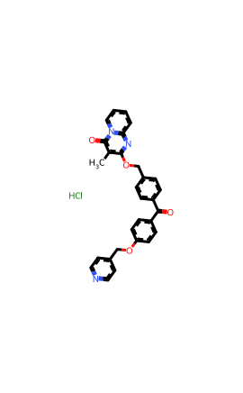 Cc1c(OCc2ccc(C(=O)c3ccc(OCc4ccncc4)cc3)cc2)nc2ccccn2c1=O.Cl